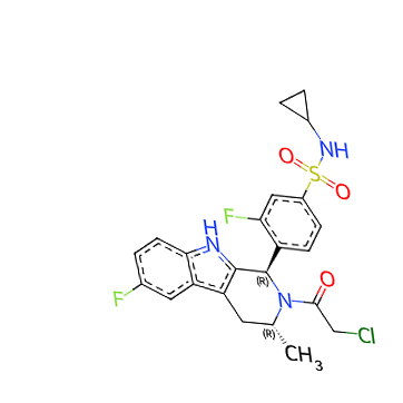 C[C@@H]1Cc2c([nH]c3ccc(F)cc23)[C@@H](c2ccc(S(=O)(=O)NC3CC3)cc2F)N1C(=O)CCl